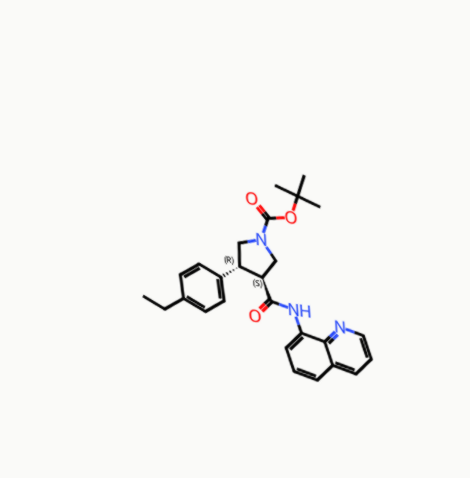 CCc1ccc([C@@H]2CN(C(=O)OC(C)(C)C)C[C@H]2C(=O)Nc2cccc3cccnc23)cc1